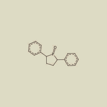 O=[P]1C(c2ccccc2)CCC1c1ccccc1